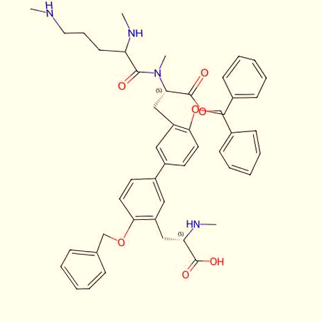 CNCCCC(NC)C(=O)N(C)[C@@H](Cc1cc(-c2ccc(OCc3ccccc3)c(C[C@H](NC)C(=O)O)c2)ccc1OCc1ccccc1)C(=O)OCc1ccccc1